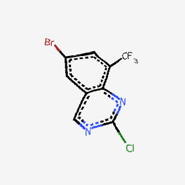 FC(F)(F)c1cc(Br)cc2cnc(Cl)nc12